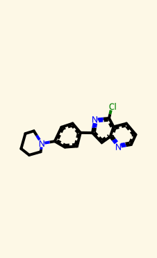 Clc1nc(-c2ccc(N3CCCCC3)cc2)cc2ncccc12